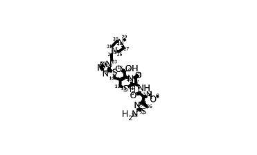 CON=C(C(=O)NC1C(=O)N2C(C(=O)O)=C(CSc3nnnn3CCN3CCN(C)CC3)CS[C@@H]12)c1csc(N)n1